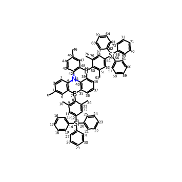 Cc1ccc2c(c1)B(c1c(C)cc([Si](c3ccccc3)(c3ccccc3)c3ccccc3)cc1C)c1cccc3c1N2c1ccc(C)cc1B3c1c(C)cc([Si](c2ccccc2)(c2ccccc2)c2ccccc2)cc1C